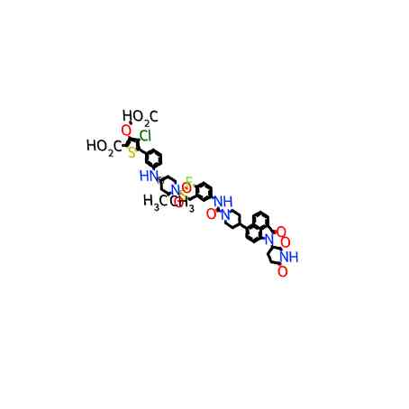 CC1(C)C[C@H](Nc2cccc(-c3sc(C(=O)O)c(OCC(=O)O)c3Cl)c2)CCN1S(=O)(=O)Cc1cc(NC(=O)N2CCC(c3ccc4c5c(cccc35)C(=O)N4C3CCC(=O)NC3=O)CC2)ccc1F